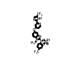 CCS(=O)(=O)ON(c1ccc(C(F)(F)F)cc1)c1nc2cc(Oc3ccnc(-c4ncc(C(F)(F)F)[nH]4)c3)ccc2n1C